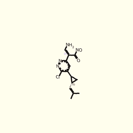 CC(C)=C[C@H]1CC1c1cc(/C(=C/N)C(=O)N=O)nnc1Cl